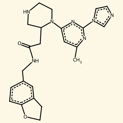 Cc1cc(N2CCNCC2CC(=O)NCc2ccc3c(c2)CCO3)nc(-n2ccnc2)n1